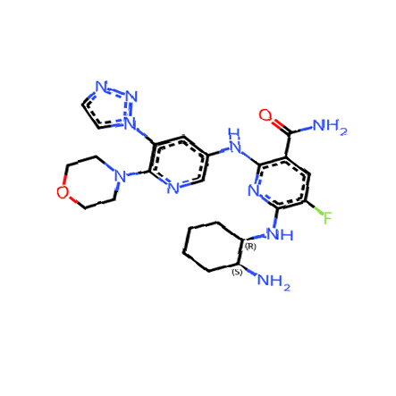 NC(=O)c1cc(F)c(N[C@@H]2CCCC[C@@H]2N)nc1Nc1cnc(N2CCOCC2)c(-n2ccnn2)c1